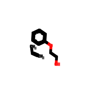 C=CC.OCCOc1ccccc1